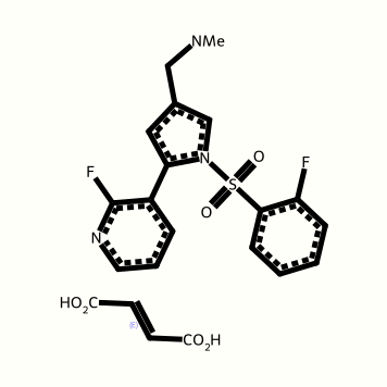 CNCc1cc(-c2cccnc2F)n(S(=O)(=O)c2ccccc2F)c1.O=C(O)/C=C/C(=O)O